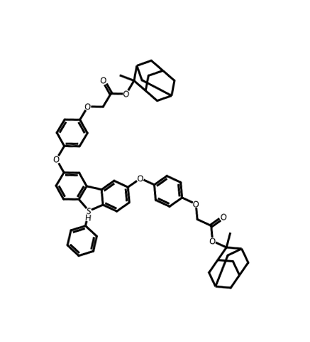 CC1(OC(=O)COc2ccc(Oc3ccc4c(c3)-c3cc(Oc5ccc(OCC(=O)OC6(C)C7CC8CC(C7)CC6C8)cc5)ccc3[SH]4c3ccccc3)cc2)C2CC3CC(C2)CC1C3